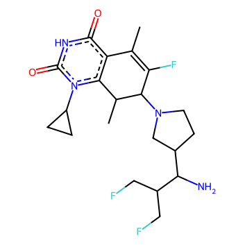 CC1=C(F)C(N2CCC(C(N)C(CF)CF)C2)C(C)c2c1c(=O)[nH]c(=O)n2C1CC1